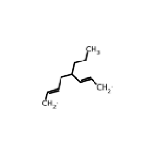 [CH2]C=CCC(C=C[CH2])CCC